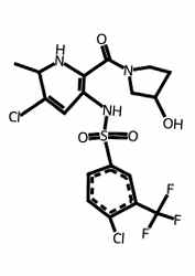 CC1NC(C(=O)N2CCC(O)C2)=C(NS(=O)(=O)c2ccc(Cl)c(C(F)(F)F)c2)C=C1Cl